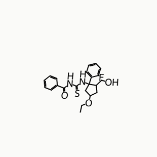 CCOC1CC(CO)C(NC(=S)NC(=O)c2ccccc2)(c2ccccc2F)C1